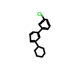 Clc1cccc(-c2cccc(C3CCCCC3)c2)c1